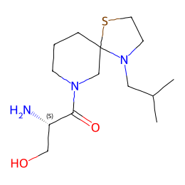 CC(C)CN1CCSC12CCCN(C(=O)[C@@H](N)CO)C2